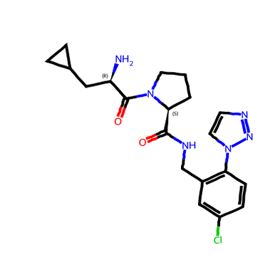 N[C@H](CC1CC1)C(=O)N1CCC[C@H]1C(=O)NCc1cc(Cl)ccc1-n1ccnn1